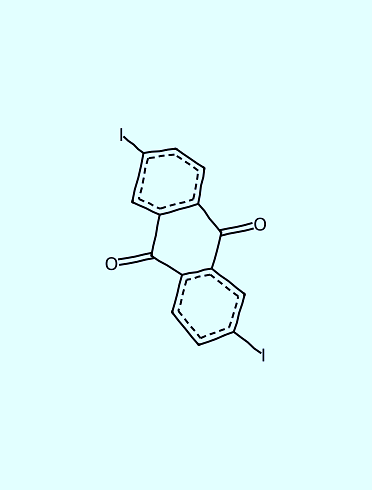 O=C1c2ccc(I)cc2C(=O)c2ccc(I)cc21